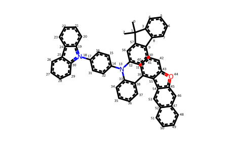 CC1(C)c2ccccc2-c2ccc(N(c3ccc(-n4c5ccccc5c5ccccc54)cc3)c3ccccc3-c3cccc4oc5cc6ccccc6cc5c34)cc21